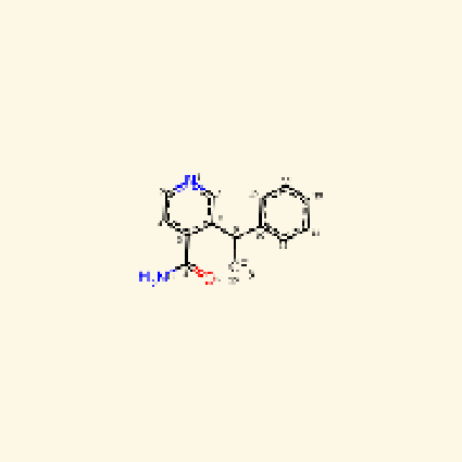 NC(=O)c1ccncc1C(c1ccccc1)C(F)(F)F